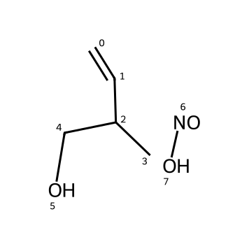 C=CC(C)CO.O=NO